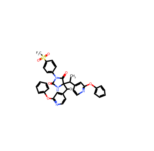 CC(c1ccnc(Oc2ccccc2)c1)C1(C(C)c2ccnc(Oc3ccccc3)c2)NC(=O)N(c2ccc(S(=O)(=O)C(F)(F)F)cc2)C1=O